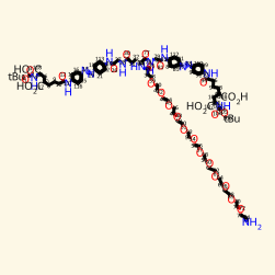 CC(C)(C)OC(=O)N[C@@H](C[C@H](CCCC(=O)Nc1ccc(/N=N/c2ccc(NC(=O)CNC(=O)CC[C@@H](NC(=O)CCOCCOCCOCCOCCOCCOCCOCCOCCOCCOCCOCCOCCN)C(=O)NCC(=O)Nc3ccc(/N=N/c4ccc(NC(=O)CCC[C@@H](C[C@H](NC(=O)OC(C)(C)C)C(=O)O)C(=O)O)cc4)cc3)cc2)cc1)C(=O)O)C(=O)O